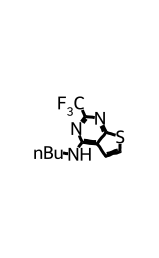 CCCCNc1nc(C(F)(F)F)nc2sccc12